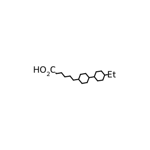 CCC1CCC(C2CCC(CCCCCC(=O)O)CC2)CC1